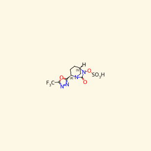 O=C1N2C[C@H](CC[C@@H]2c2nnc(C(F)(F)F)o2)N1OS(=O)(=O)O